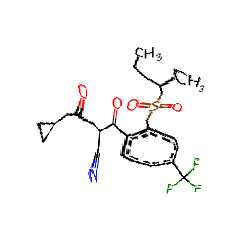 CCC(C)S(=O)(=O)c1cc(C(F)(F)F)ccc1C(=O)C(C#N)C(=O)C1CC1